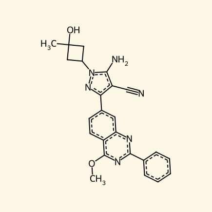 COc1nc(-c2ccccc2)nc2cc(-c3nn(C4CC(C)(O)C4)c(N)c3C#N)ccc12